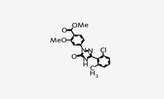 COC(=O)c1ccc(-n2nc(-c3c(C)cccc3Cl)[nH]c2=O)cc1OC